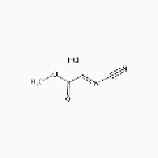 COC(=O)C=NC#N.Cl